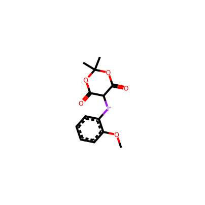 COc1ccccc1[I+]C1C(=O)OC(C)(C)OC1=O